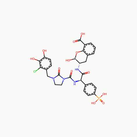 O=C(O)c1cccc2c1OB(O)[C@@H](NC(=O)[C@H](NC(=O)N1CCN(Cc3ccc(O)c(O)c3Cl)C1=O)c1ccc(P(=O)(O)O)cc1)C2